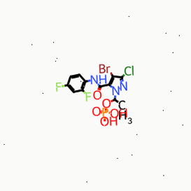 CC(OP(=O)(O)O)n1nc(Cl)c(Br)c1C(=O)Nc1ccc(F)cc1F